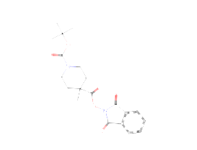 CC(C)(C)OC(=O)N1CCC(C)(C(=O)ON2C(=O)c3ccccc3C2=O)CC1